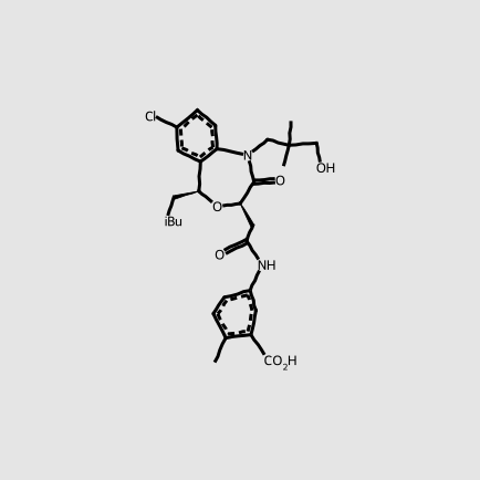 CCC(C)C[C@@H]1O[C@H](CC(=O)Nc2ccc(C)c(C(=O)O)c2)C(=O)N(CC(C)(C)CO)c2ccc(Cl)cc21